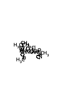 COc1ccc(Cn2nc(C(C)(C)C)cc2NC(=O)Nc2ccc(ONC(=O)N(C)c3ccccn3)c(Cl)c2Cl)cc1